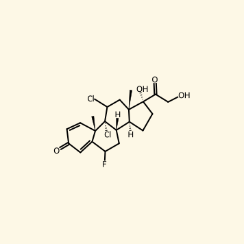 C[C@]12C=CC(=O)C=C1C(F)C[C@H]1[C@@H]3CC[C@](O)(C(=O)CO)[C@@]3(C)CC(Cl)[C@@]12Cl